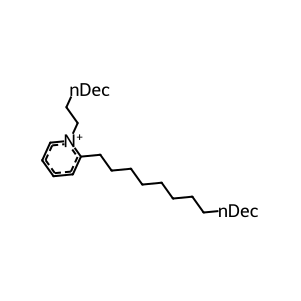 CCCCCCCCCCCCCCCCCCc1cccc[n+]1CCCCCCCCCCCC